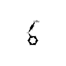 CCCCC#CSc1ccccc1